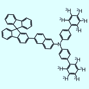 [2H]c1c([2H])c([2H])c(-c2ccc(N(c3ccc(-c4c([2H])c([2H])c([2H])c([2H])c4[2H])cc3)c3ccc4cc(-c5ccc6c(c5)C5(c7ccccc7-c7ccccc75)c5ccccc5-6)ccc4c3)cc2)c([2H])c1[2H]